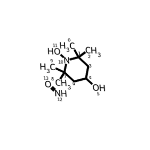 CC1(C)CC(O)CC(C)(C)N1O.N=O